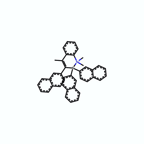 CC1=C(c2ccc3ccccc3c2)[B-](c2ccc3ccccc3c2)(c2ccc3ccccc3c2)[N+](C)(C)c2ccccc21